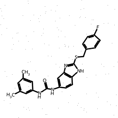 Cc1cc(C)cc(NC(=O)Nc2ccc3[nH]c(SCc4ccc(F)cc4)nc3c2)c1